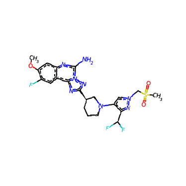 COc1cc2nc(N)n3nc([C@@H]4CCCN(c5cn(CS(C)(=O)=O)nc5C(F)F)C4)nc3c2cc1F